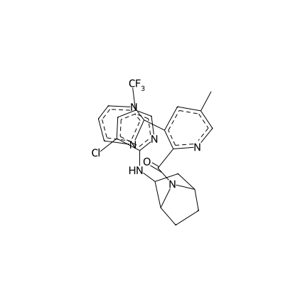 Cc1cnc(C(=O)N2C3CCC2C(Nc2ncc(C(F)(F)F)cc2Cl)C3)c(-c2ncccn2)c1